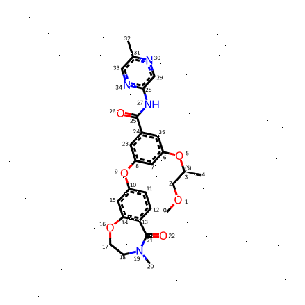 COC[C@H](C)Oc1cc(Oc2ccc3c(c2)OCCN(C)C3=O)cc(C(=O)Nc2cnc(C)cn2)c1